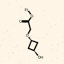 CCOC(=O)CO[C@H]1C[C@@H](O)C1